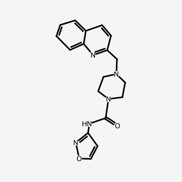 O=C(Nc1ccon1)N1CCN(Cc2ccc3ccccc3n2)CC1